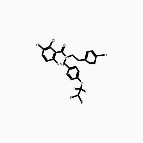 CNc1ccc(Cl)c(Cl)c1C(=O)N(CCc1ccc(Cl)cc1)Cc1ccc(OC(F)(F)C(F)F)cc1